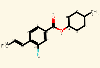 CC1CCC(OC(=O)c2ccc(/C=C/C(F)(F)F)c(F)c2)CC1